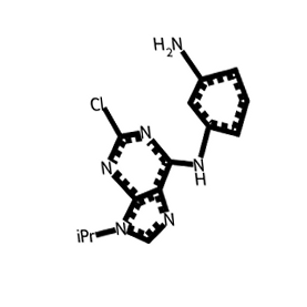 CC(C)n1cnc2c(Nc3cccc(N)c3)nc(Cl)nc21